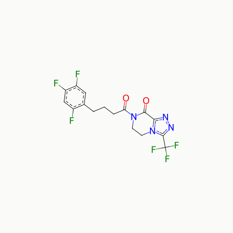 O=C(CCCc1cc(F)c(F)cc1F)N1CCn2c(nnc2C(F)(F)F)C1=O